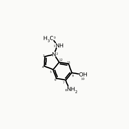 CNn1ccc2cc(N)c(O)cc21